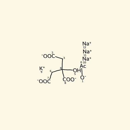 CC(=O)[O-].O=C([O-])CC(O)(CC(=O)[O-])C(=O)[O-].[K+].[Na+].[Na+].[Na+]